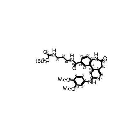 COc1ccc(Nc2ncc3c(n2)-c2cc(C(=O)NCCCNC(=O)OC(C)(C)C)ccc2NC(=O)C3)cc1OC